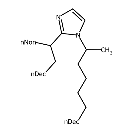 CCCCCCCCCCCCCCC(C)n1ccnc1C(CCCCCCCCC)CCCCCCCCCCC